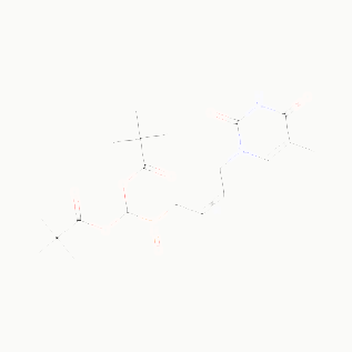 Cc1cn(C/C=C\C[PH](=O)C(OC(=O)C(C)(C)C)OC(=O)C(C)(C)C)c(=O)[nH]c1=O